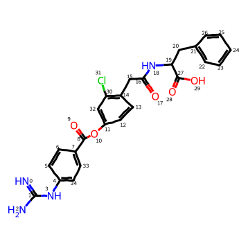 N=C(N)Nc1ccc(C(=O)Oc2ccc(CC(=O)NC(Cc3ccccc3)C(=O)O)c(Cl)c2)cc1